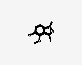 COc1c(Cl)ccc2c1c(I)nn2C